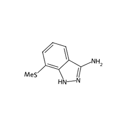 CSc1cccc2c(N)n[nH]c12